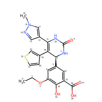 CCOc1cc([C@@H]2NC(=O)NC(c3cnn(C)c3)=C2c2ccsc2)cc(C(=O)O)c1O